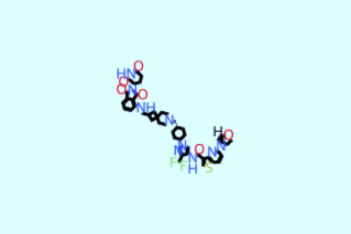 O=C1CCC(N2C(=O)c3cccc(NCC4CC5(CCN(C[C@H]6CC[C@H](n7cc(NC(=O)c8csc9ccc(N%10C[C@H]%11CC%10CO%11)nc89)c(C(F)F)n7)CC6)CC5)C4)c3C2=O)C(=O)N1